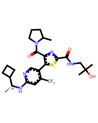 CC1CCCN1C(=O)c1nc(C(=O)NCC(C)(C)O)sc1-c1cnc(N[C@H](C)C2CCC2)cc1C(F)(F)F